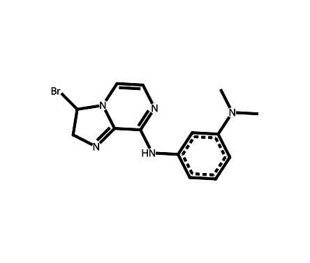 CN(C)c1cccc(NC2=NC=CN3C2=NCC3Br)c1